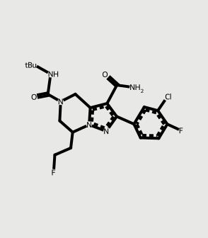 CC(C)(C)NC(=O)N1Cc2c(C(N)=O)c(-c3ccc(F)c(Cl)c3)nn2C(CCF)C1